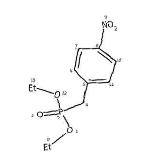 CCOP(=O)(Cc1c[c]c([N+](=O)[O-])cc1)OCC